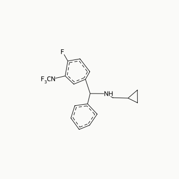 Fc1ccc(C(NCC2CC2)c2ccccc2)cc1NC(F)(F)F